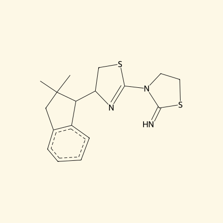 CC1(C)Cc2ccccc2C1C1CSC(N2CCSC2=N)=N1